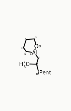 CCCC(C)C(C)[CH2][Al]1[CH2]CCC[O]1